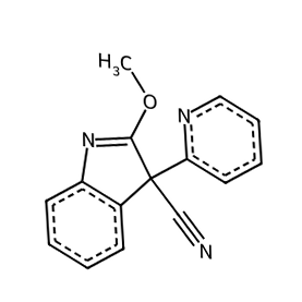 COC1=Nc2ccccc2C1(C#N)c1ccccn1